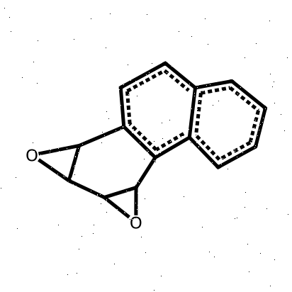 c1ccc2c3c(ccc2c1)C1OC1C1OC31